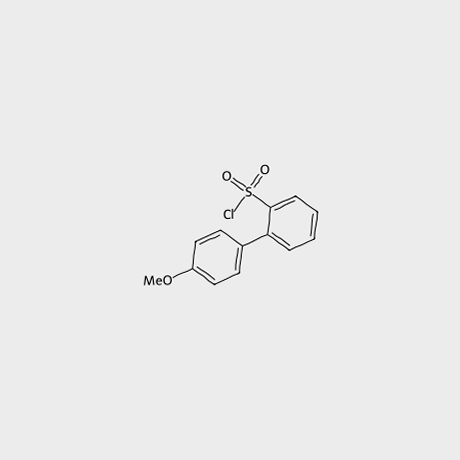 COc1ccc(-c2ccccc2S(=O)(=O)Cl)cc1